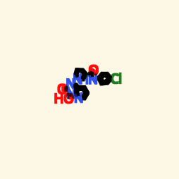 O=C(Nc1ccc(Cl)cc1)[C@H]1CCCN(c2nc(=O)n(O)c3ncccc23)C1